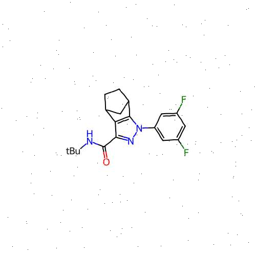 CC(C)(C)NC(=O)c1nn(-c2cc(F)cc(F)c2)c2c1C1CCC2C1